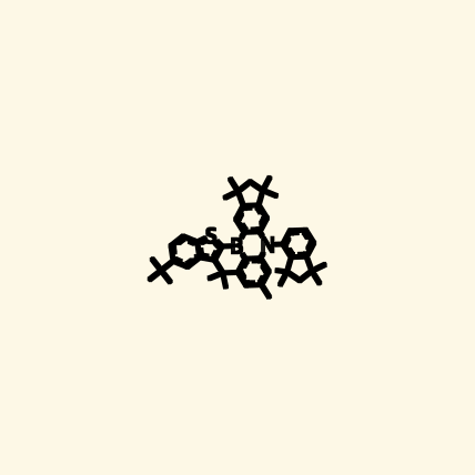 Cc1cc2c3c(c1)C(C)(C)c1c(sc4ccc(C(C)(C)C)cc14)B3c1cc3c(cc1N2c1cccc2c1C(C)(C)CC2(C)C)C(C)(C)CC3(C)C